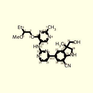 CCC(COc1nc(C)ncc1Nc1nccc(-c2cc(C#N)c3c(c2)C(C)(CO)CN3)n1)OC